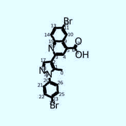 Cc1c(-c2cc(C(=O)O)c3cc(Br)ccc3n2)cnn1-c1ccc(Br)cc1